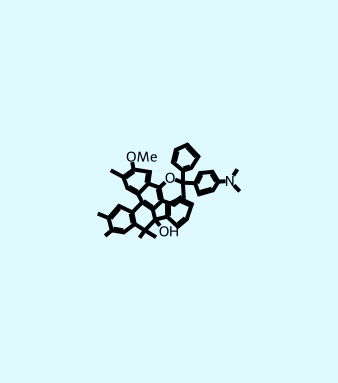 COc1cc2c3c(c4c(c2cc1C)-c1cc(C)c(C)cc1C(C)(C)C4(O)c1ccccc1)C=CC(c1ccccc1)(c1ccc(N(C)C)cc1)O3